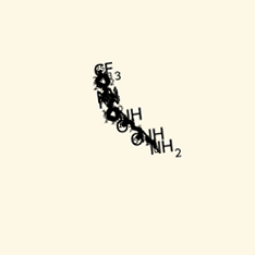 NCCNC(=O)CCCC(=O)Nc1cccc(-c2nnc(-c3ccc(C(F)(F)F)cc3)nn2)c1